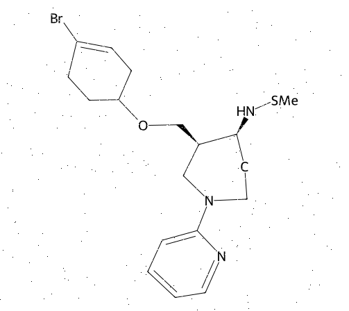 CSN[C@H]1CCN(c2ccccn2)C[C@H]1COC1CC=C(Br)CC1